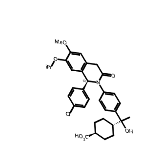 COc1cc2c(cc1OC(C)C)[C@H](c1ccc(Cl)cc1)N(c1ccc(C(C)(O)[C@H]3CC[C@H](C(=O)O)CC3)cc1)C(=O)C2